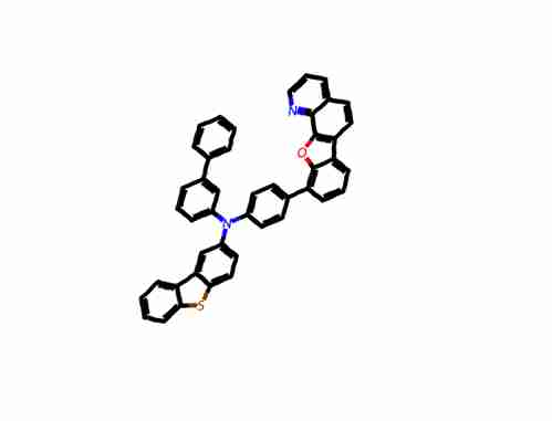 c1ccc(-c2cccc(N(c3ccc(-c4cccc5c4oc4c5ccc5cccnc54)cc3)c3ccc4sc5ccccc5c4c3)c2)cc1